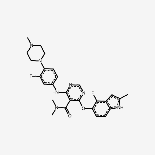 Cc1cc2c(F)c(Oc3ncnc(Nc4ccc(N5CCN(C)CC5)c(F)c4)c3C(=O)N(C)C)ccc2[nH]1